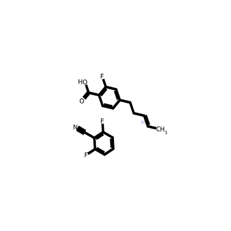 C/C=C/CCc1ccc(C(=O)O)c(F)c1.N#Cc1c(F)cccc1F